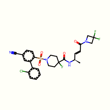 C[C@H](/C=C/C(=O)N1CC(F)(F)C1)NC(=O)C1(F)CCN(S(=O)(=O)c2ccc(C#N)cc2-c2ccccc2Cl)CC1